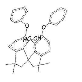 CC1(C)CC2(CC(C)(C)c3ccc(Oc4ccccc4)c(O)c32)c2c1ccc(Oc1ccccc1)c2O